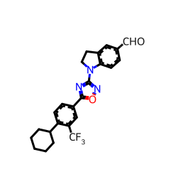 O=Cc1ccc2c(c1)CCN2c1noc(-c2ccc(C3CCCCC3)c(C(F)(F)F)c2)n1